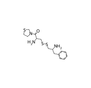 NC(CSSCC(N)C(=O)N1CCSC1)Cc1ccccc1